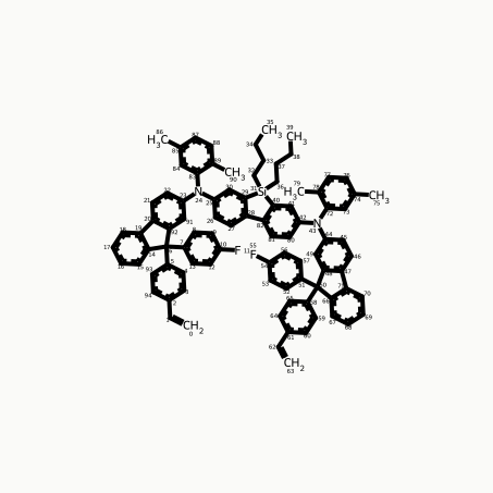 C=Cc1ccc(C2(c3ccc(F)cc3)c3ccccc3-c3ccc(N(c4ccc5c(c4)[Si](CCCC)(CCCC)c4cc(N(c6ccc7c(c6)C(c6ccc(F)cc6)(c6ccc(C=C)cc6)c6ccccc6-7)c6cc(C)ccc6C)ccc4-5)c4cc(C)ccc4C)cc32)cc1